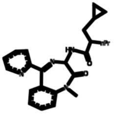 CCCC(CC1CC1)C(=O)NC1N=C(c2ccccn2)c2ccccc2N(C)C1=O